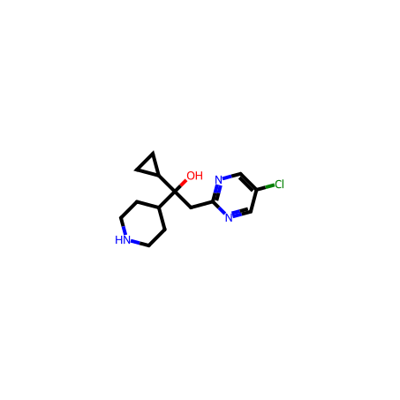 OC(Cc1ncc(Cl)cn1)(C1CCNCC1)C1CC1